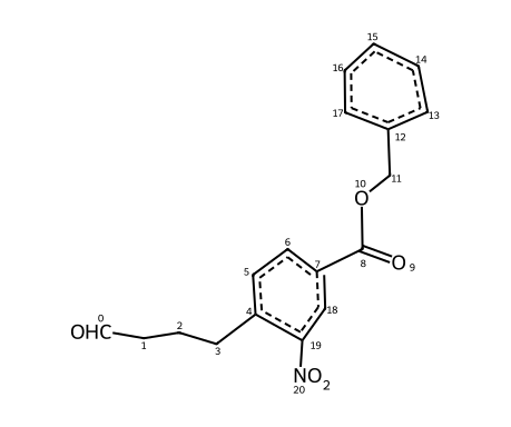 O=CCCCc1ccc(C(=O)OCc2ccccc2)cc1[N+](=O)[O-]